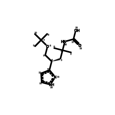 CC(C)(C[C@@H](COC(C)(C)C)c1cc[nH]n1)NC(=O)O